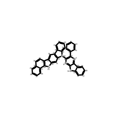 c1ccc(-c2nc3c(nc2-n2c4ccccc4c4cc5c(cc42)sc2c4ccccc4ccc52)sc2ccccc23)cc1